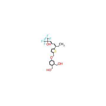 CC/C(=C/C=C/C(O)(C(F)(F)F)C(F)(F)F)c1ccc(COc2ccc(CO)c(CO)c2)s1